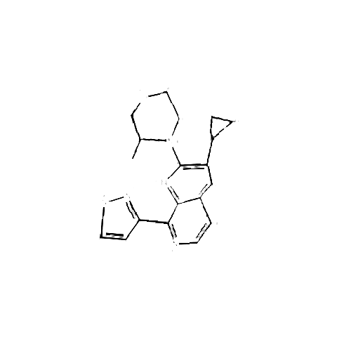 CC1COCCN1c1nc2c(-c3cc[nH]n3)nccc2cc1C1CC1